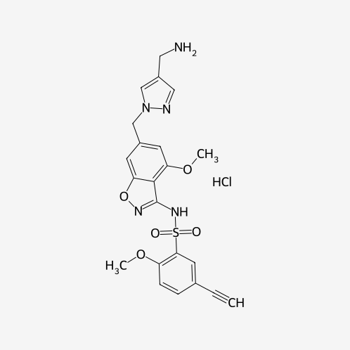 C#Cc1ccc(OC)c(S(=O)(=O)Nc2noc3cc(Cn4cc(CN)cn4)cc(OC)c23)c1.Cl